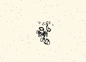 CCc1c(C(=O)N2CCOCC2)nn(C2CCCN(CCC(C(F)(F)F)C(F)(F)F)C2)c1-c1ccccc1S(=O)O